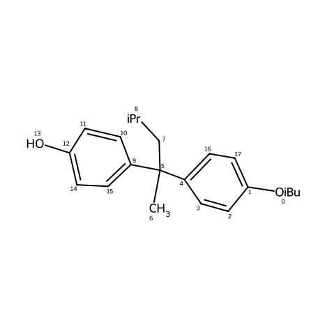 CC(C)COc1ccc(C(C)(CC(C)C)c2ccc(O)cc2)cc1